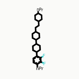 CCCc1ccc(C2CCC(C3CCC(CCC4CCC(CCC)CC4)CC3)CC2)c(F)c1F